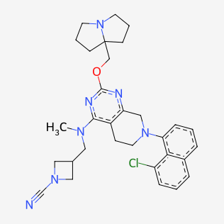 CN(CC1CN(C#N)C1)c1nc(OCC23CCCN2CCC3)nc2c1CCN(c1cccc3cccc(Cl)c13)C2